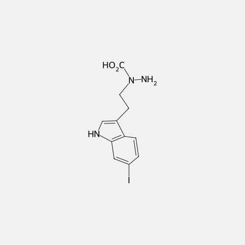 NN(CCc1c[nH]c2cc(I)ccc12)C(=O)O